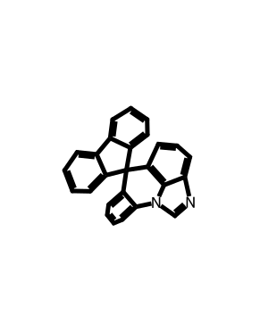 c1ccc2c(c1)-c1ccccc1C21c2ccccc2-n2cnc3cccc1c32